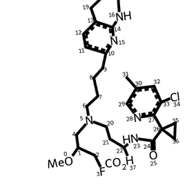 COC(CF)CN(CCCCc1ccc2c(n1)NCCC2)CCC(NC(=O)C1(c2ncc(C)cc2Cl)CC1)C(=O)O